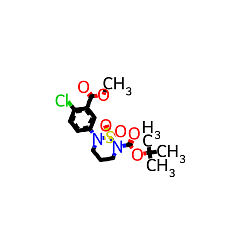 COC(=O)c1cc(N2CCCN(C(=O)OC(C)(C)C)S2(=O)=O)ccc1Cl